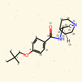 CC(C)(C)COc1ccc(C(=O)N[C@@H]2CN3CCC2CC3)cc1